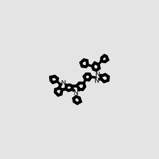 c1ccc(-c2cc(-c3ccccc3)cc(-n3c(-c4cccc(-c5ccc6c(c5)c5cc7nc(-c8ccccc8)c8ccccc8c7cc5n6-c5ccccc5)c4)nc4ccccc43)c2)cc1